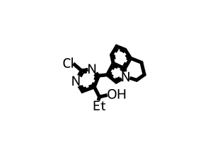 CCC(O)c1cnc(Cl)nc1-c1cn2c3c(cccc13)CCC2